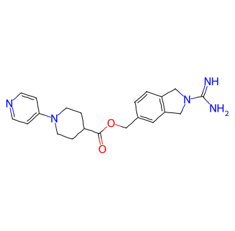 N=C(N)N1Cc2ccc(COC(=O)C3CCN(c4ccncc4)CC3)cc2C1